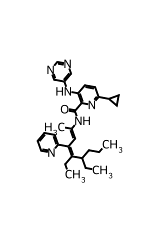 CCCC(CC)/C(CC)=C(\C=C(/C)NC(=O)c1nc(C2CC2)ccc1Nc1cncnc1)c1ccccn1